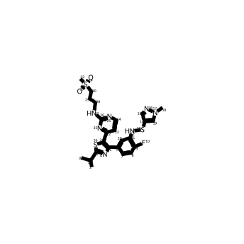 CC(C)c1nc(-c2ccc(F)c(NSc3cnn(C)c3)c2)c(-c2ccnc(NCCCS(C)(=O)=O)n2)s1